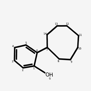 Oc1ccccc1C1CCCCCCC1